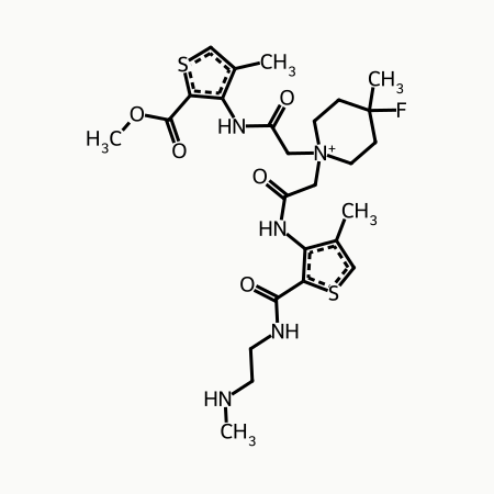 CNCCNC(=O)c1scc(C)c1NC(=O)C[N+]1(CC(=O)Nc2c(C)csc2C(=O)OC)CCC(C)(F)CC1